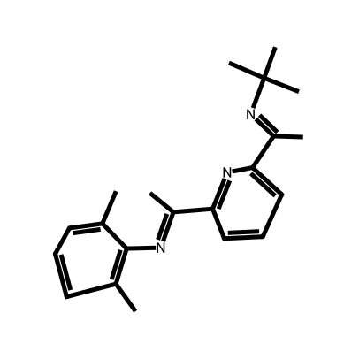 CC(=Nc1c(C)cccc1C)c1cccc(C(C)=NC(C)(C)C)n1